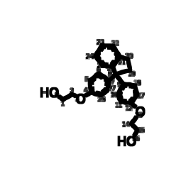 OCCOc1ccc(C2(c3ccc(OCCO)cc3)CCc3ccccc32)cc1